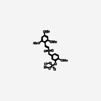 CCOP(=O)(OCC)Oc1cc(CS(=O)(=O)/C=C/c2c(OC)cc(OC)cc2OC)ccc1OC